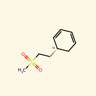 CS(=O)(=O)C[CH][C@@H]1C=CC=CC1